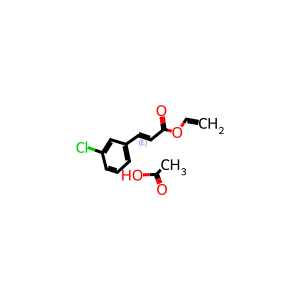 C=COC(=O)/C=C/c1cccc(Cl)c1.CC(=O)O